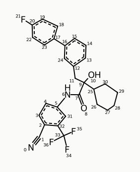 N#Cc1ccc(NC(=O)C(O)(Cc2cccc(-c3ccc(F)cc3)c2)C2CCCCC2)cc1C(F)(F)F